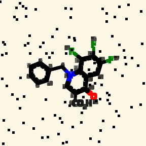 O=C(O)c1cn(Cc2ccccc2)c2c(F)c(F)c(F)cc2c1=O